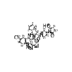 O=C(C(Cc1ccccc1)n1cnc(-c2cc(Cl)ccc2-n2cc(Cl)nn2)cc1=O)N1CCC(N2C(=O)CCC2O)CC1